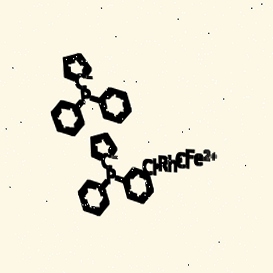 [Cl][Rh][Cl].[Fe+2].c1ccc(P(c2ccccc2)[c-]2cccc2)cc1.c1ccc(P(c2ccccc2)[c-]2cccc2)cc1